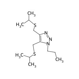 CCCn1nnc(CSC(C)C)c1CSC(C)C